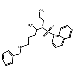 CCCN(C(C)CCCNCc1ccccc1)S(=O)(=O)c1cccc2cnccc12